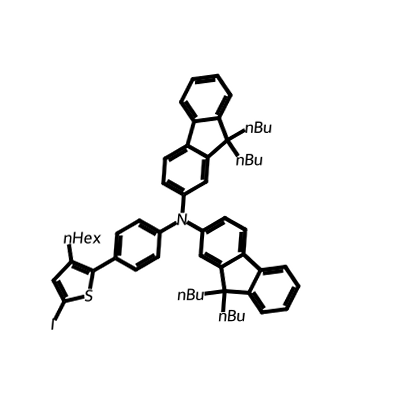 CCCCCCc1cc(I)sc1-c1ccc(N(c2ccc3c(c2)C(CCCC)(CCCC)c2ccccc2-3)c2ccc3c(c2)C(CCCC)(CCCC)c2ccccc2-3)cc1